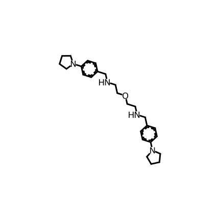 c1cc(N2CCCC2)ccc1CNCCOCCNCc1ccc(N2CCCC2)cc1